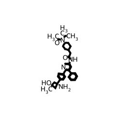 CC(=O)N(C(C)C)C1CCC(CC(=O)Nc2cnc(-c3ccc([C@]4(N)C[C@](C)(O)C4)cc3)c(-c3ccccc3)c2)CC1